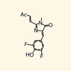 CC(=O)/C=C/C1=NC(=C\c2cc(F)c(O)c(F)c2)/C(=O)N1C